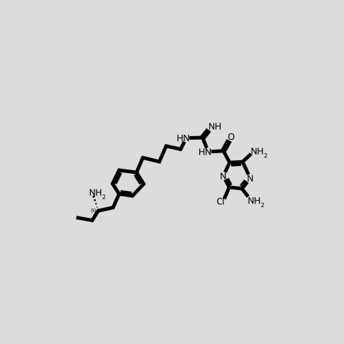 CC[C@H](N)Cc1ccc(CCCCNC(=N)NC(=O)c2nc(Cl)c(N)nc2N)cc1